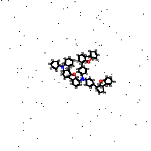 C1=CC(c2ccc(N(c3ccc(-c4cccc5c4oc4ccccc45)cc3)c3cccc4c3oc3c4ccc4c3c3ccccc3n4-c3ccccc3)cc2)=C2Oc3ccccc3C2C1